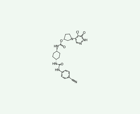 N#Cc1ccc(NC(=O)N[C@H]2CC[C@H](NC(=O)O[C@@H]3CCN(c4cn[nH]c(=O)c4Cl)C3)CC2)cc1